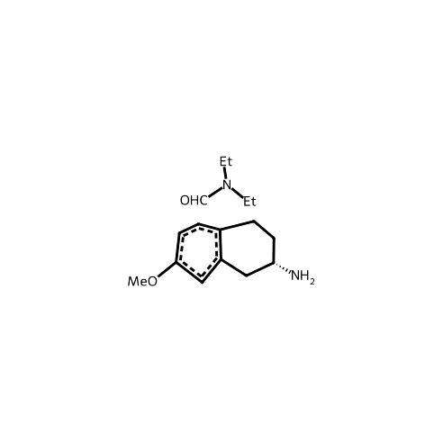 CCN(C=O)CC.COc1ccc2c(c1)C[C@@H](N)CC2